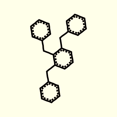 c1ccc(Cc2cccc(Cc3ccccc3)c2Cc2ccccc2)cc1